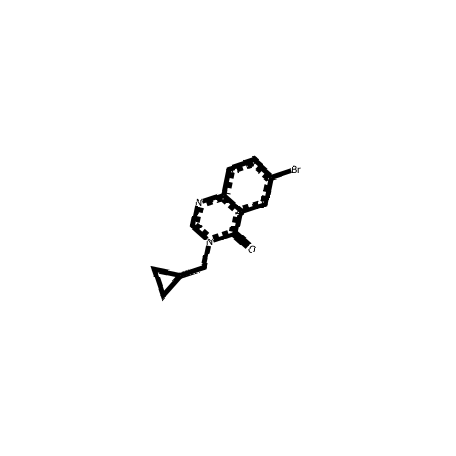 O=c1c2cc(Br)ccc2ncn1CC1CC1